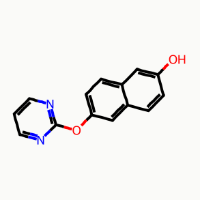 Oc1ccc2cc(Oc3ncccn3)ccc2c1